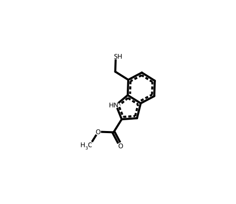 COC(=O)c1cc2cccc(CS)c2[nH]1